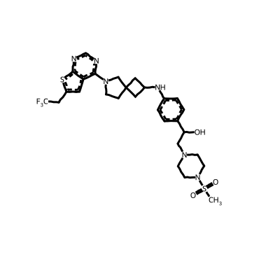 CS(=O)(=O)N1CCN(CC(O)c2ccc(NC3CC4(CCN(c5ncnc6sc(CC(F)(F)F)cc56)C4)C3)cc2)CC1